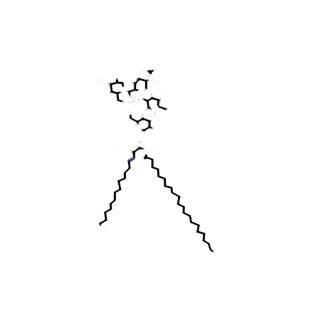 CCCCCCCCCCCCC/C=C/[C@@H](O)[C@H](CO[C@@H]1OC(CO)[C@@H](O[C@@H]2OC(CO)[C@H](O)[C@H](O[C@@H]3OC(CO)[C@@H](O[C@@H]4OC(CO)[C@H](O)[C@H](O)C4O)[C@H](O)C3NC(C)=O)C2O)[C@H](O)C1O)NC(=O)CCCCCCCCCCCCCCCCCCCCC